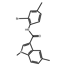 Cc1ccc(NC(=O)c2cn(C)c3ccc(C)cc23)c(Br)c1